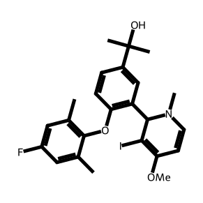 COC1=C(I)C(c2cc(C(C)(C)O)ccc2Oc2c(C)cc(F)cc2C)N(C)C=C1